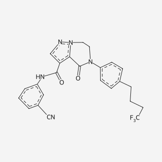 N#Cc1cccc(NC(=O)c2cnn3c2C(=O)N(c2ccc(CCCC(F)(F)F)cc2)CC3)c1